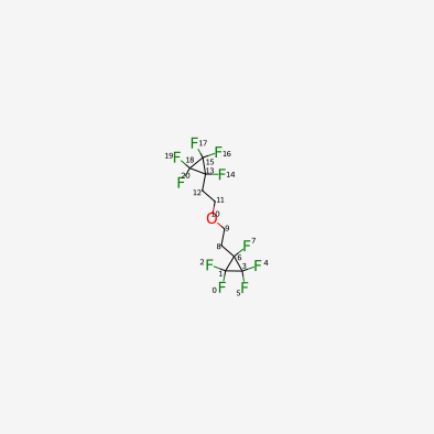 FC1(F)C(F)(F)C1(F)CCOCCC1(F)C(F)(F)C1(F)F